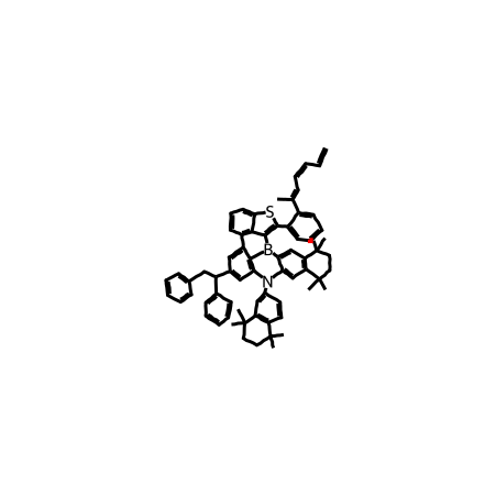 C=C/C=C\C=C(/C)c1ccccc1-c1sc2cccc3c2c1B1c2cc4c(cc2N(c2ccc5c(c2)C(C)(C)CCC5(C)C)c2cc(C(Cc5ccccc5)c5ccccc5)cc-3c21)C(C)(C)CCC4(C)C